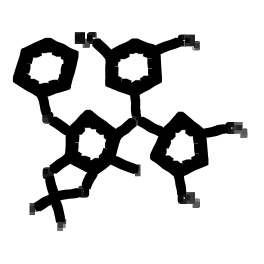 Cc1cc(C)cc(P(c2cc(C)cc(C)c2)c2cc(Oc3ccccc3)c3c(c2I)OC(F)(F)O3)c1